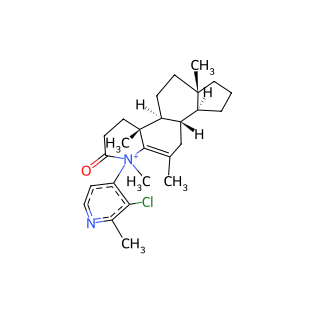 CC1=C2[C@](C)(CCC(=O)[N+]2(C)c2ccnc(C)c2Cl)[C@H]2CC[C@]3(C)CCC[C@H]3[C@@H]2C1